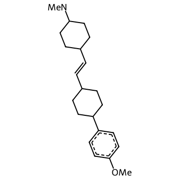 CNC1CCC(C=CC2CCC(c3ccc(OC)cc3)CC2)CC1